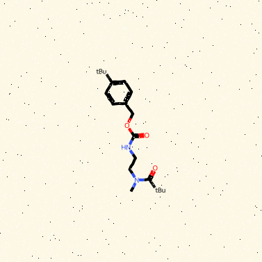 CN(CCNC(=O)OCc1ccc(C(C)(C)C)cc1)C(=O)C(C)(C)C